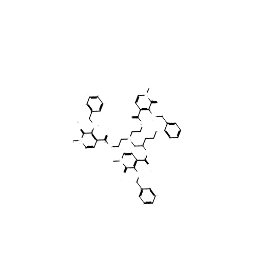 CCCC(CN(CCNC(=O)c1ccn(C)c(=O)c1OCc1ccccc1)CCNC(=O)c1ccn(C)c(=O)c1OCc1ccccc1)NC(=O)c1ccn(C)c(=O)c1OCc1ccccc1